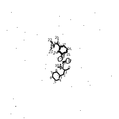 CC(CC1CCCCC1)N(C)C(=O)Oc1cccc([C@H](C)N(C)C)c1